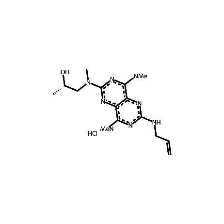 C=CCNc1nc(NC)c2nc(N(C)C[C@H](C)O)nc(NC)c2n1.Cl